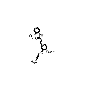 CC#CCOc1cc(C=CC(=O)Nc2ccccc2C(=O)O)ccc1OC